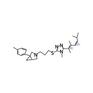 CC(/C=C\C(C)C)=C(/C)c1nnc(SCCCN2CC3CC3(c3ccc(C)cc3)C2)n1C